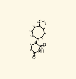 CC1CCCC(C2CCC(=O)NC2=O)CCC1